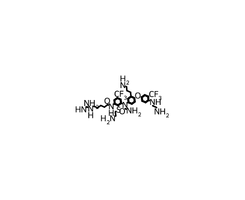 N=C(N)NCCCCC(=O)Nc1cc(C(F)(F)F)cc(N(C(N)=O)c2ccc(Oc3ccc(NCCN)c(C(F)(F)F)c3)c(CCCN)c2)c1SCCN